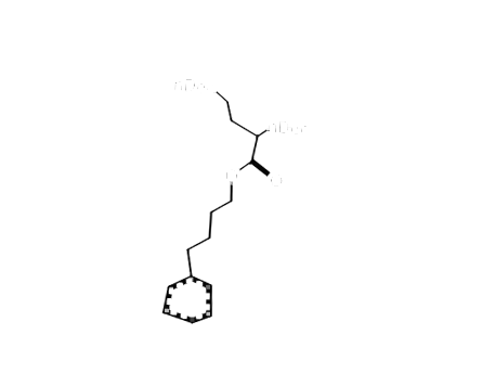 CCCCCCCCCCCCC(CCCCCCCCCC)C(=O)OCCCCc1ccccc1